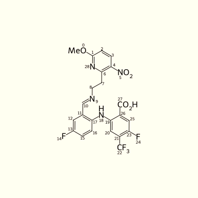 COc1ccc([N+](=O)[O-])c(CC/N=C/c2cc(F)ccc2Nc2cc(C(F)(F)F)c(F)cc2C(=O)O)n1